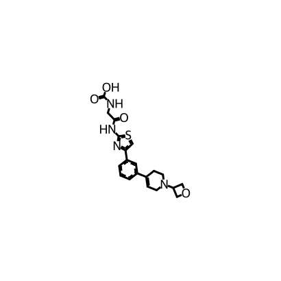 O=C(O)NCC(=O)Nc1nc(-c2cccc(C3=CCN(C4COC4)CC3)c2)cs1